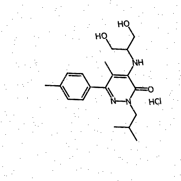 Cc1ccc(-c2nn(CC(C)C)c(=O)c(NC(CO)CO)c2C)cc1.Cl